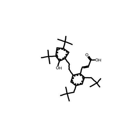 CC(C)(C)Cc1cc(CCc2cc(C(C)(C)C)cc(C(C)(C)C)c2O)c(C=CC(=O)O)c(CC(C)(C)C)c1